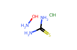 Cl.NC(N)=S.NO